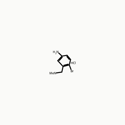 CNCc1cc(N)ccc1Br.Cl